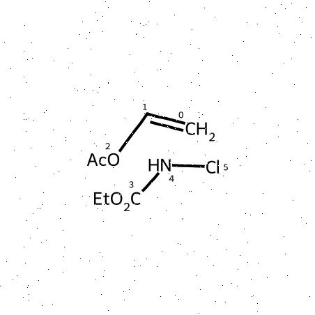 C=COC(C)=O.CCOC(=O)NCl